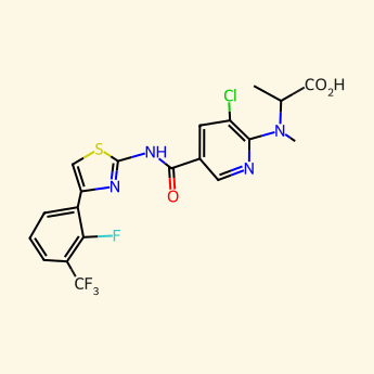 CC(C(=O)O)N(C)c1ncc(C(=O)Nc2nc(-c3cccc(C(F)(F)F)c3F)cs2)cc1Cl